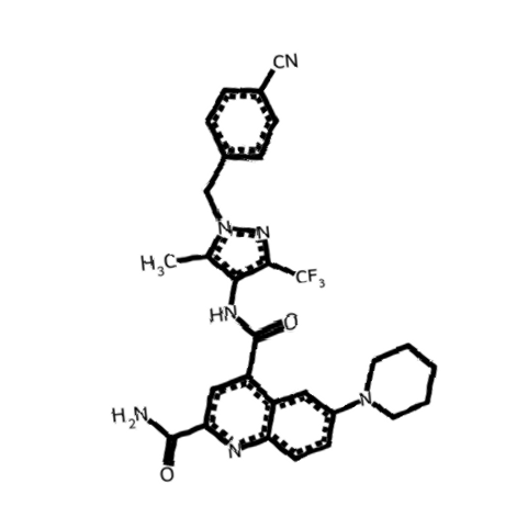 Cc1c(NC(=O)c2cc(C(N)=O)nc3ccc(N4CCCCC4)cc23)c(C(F)(F)F)nn1Cc1ccc(C#N)cc1